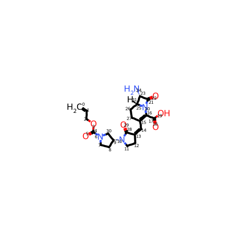 C=CCOC(=O)N1CC[C@@H](N2CC/C(=C/C3=C(C(=O)O)N4C(=O)[C@@H](N)[C@H]4CC3)C2=O)C1